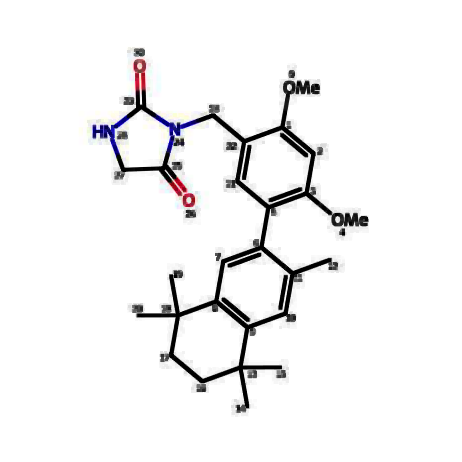 COc1cc(OC)c(-c2cc3c(cc2C)C(C)(C)CCC3(C)C)cc1CN1C(=O)CNC1=O